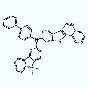 CC1(C)c2ccccc2-c2cc(N(c3ccc(-c4ccccc4)cc3)c3ccc4c(c3)sc3c5ccccc5ncc43)ccc21